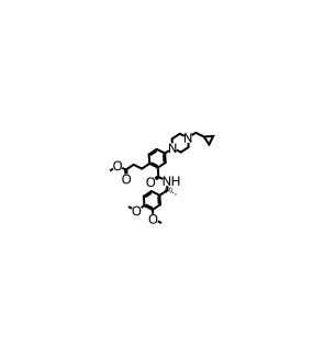 COC(=O)CCc1ccc(N2CCN(CC3CC3)CC2)cc1C(=O)N[C@H](C)c1ccc(OC)c(OC)c1